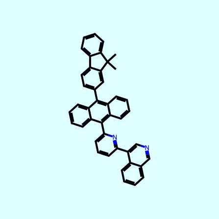 CC1(C)c2ccccc2-c2ccc(-c3c4ccccc4c(-c4cccc(-c5cncc6ccccc56)n4)c4ccccc34)cc21